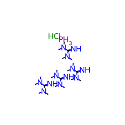 CN(C)C(=N)N(C)C.CN(C)C(=N)N(C)C.CN(C)C(=N)N(C)C.CN(C)C(=N)N(C)C.Cl.P